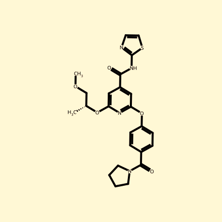 COC[C@@H](C)Oc1cc(C(=O)Nc2nccs2)cc(Oc2ccc(C(=O)N3CCCC3)cc2)n1